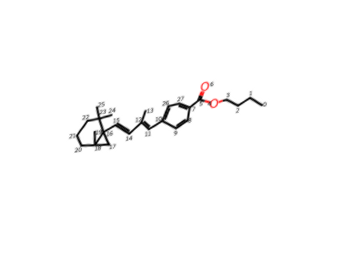 CCCCOC(=O)c1ccc(/C=C(\C)C=CC23CC2(C)CCCC3(C)C)cc1